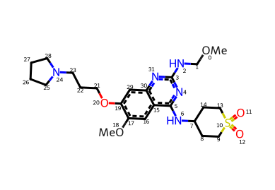 COCNc1nc(NC2CCS(=O)(=O)CC2)c2cc(OC)c(OCCCN3CCCC3)cc2n1